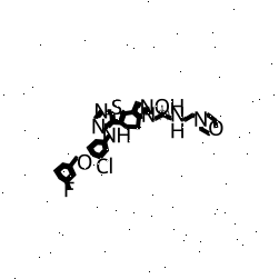 O[C@H](CNCCN1CCOCC1)Cn1ncc2c1CCc1c-2sc2ncnc(Nc3ccc(OCc4cccc(F)c4)c(Cl)c3)c12